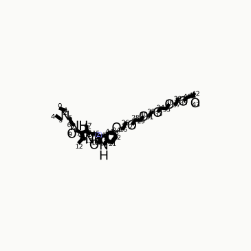 CCN(CC)CCNC(=O)c1c(C)[nH]c(/C=C2\C(=O)Nc3ccc(OCCOCCOCCOCCOCCOCC(C)=O)cc32)c1C